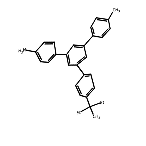 CCC(C)(CC)c1ccc(-c2cc(-c3ccc(C)cc3)cc(-c3ccc(N)cc3)c2)cc1